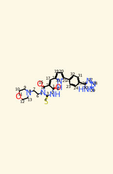 O=C1NC(=S)N(CCN2CCOCC2)C(=O)C1=Cc1ccc(-c2ccc(-c3nnn[nH]3)cc2)[nH]1